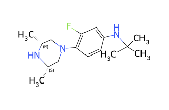 C[C@@H]1CN(c2ccc(NC(C)(C)C)cc2F)C[C@H](C)N1